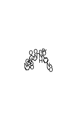 CCCC(NC(=O)c1ccc(N2CCOCC2)cc1)C(=O)N1CCC2C1C(=O)CN2S(=O)(=O)C1=NC=CCC1=O